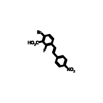 O=C(O)c1c(Br)ccc(C=Cc2ccc([N+](=O)[O-])cc2)c1F